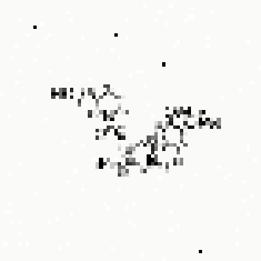 COc1cc2c(cc1OC)[C@H]1C[C@@H](COC(=O)N3CCCC(C(=O)O)C3)[C@H](CC(C)C)CN1CC2